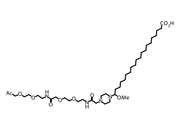 COC(CCCCCCCCCCCCCCCCCCC(=O)O)N1CCN(CC(=O)NCCOCCOCC(=O)NCCOCCOCC(C)=O)CC1